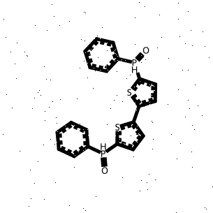 O=[PH](c1ccccc1)c1ccc(-c2ccc([PH](=O)c3ccccc3)s2)s1